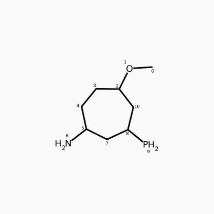 COC1CCC(N)CC(P)C1